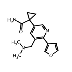 CN(C)Cc1cc(C2(C(N)=O)CC2)cnc1-c1ccoc1